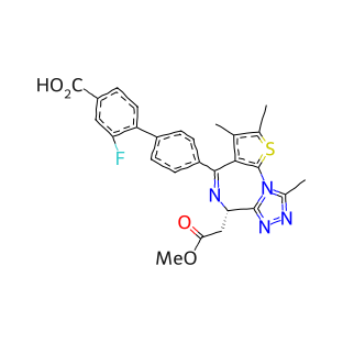 COC(=O)C[C@@H]1N=C(c2ccc(-c3ccc(C(=O)O)cc3F)cc2)c2c(sc(C)c2C)-n2c(C)nnc21